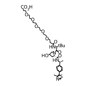 Cc1ncsc1-c1ccc([C@H](C)NC(=O)[C@@H]2C[C@@H](O)CN2C(=O)[C@@H](NC(=O)CCOCCOCCOCCOCCOCCC(=O)O)C(C)(C)C)cc1